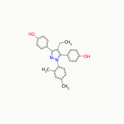 CCc1c(-c2ccc(O)cc2)nn(-c2ccc(C)cc2C)c1-c1ccc(O)cc1